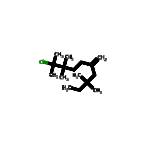 C=C(CCC(C)(C)C(C)(C)Cl)CC(C)(C)CC